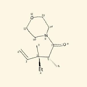 C=C[C@@](C)(CC)[C@@H](C)C(=O)N1CCOCC1